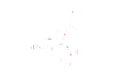 CCCCN1C[C@H](O)[C@@H](O)[C@@H]2OC(c3ccccc3)OC[C@H]21